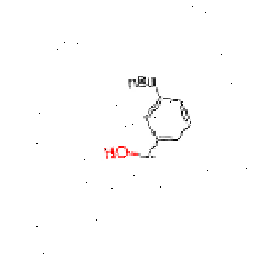 CCCCc1cccc([CH]O)c1